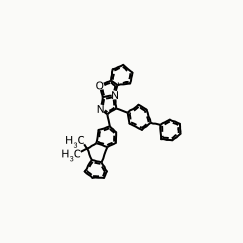 CC1(C)c2ccccc2-c2ccc(-c3nc4oc5ccccc5n4c3-c3ccc(-c4ccccc4)cc3)cc21